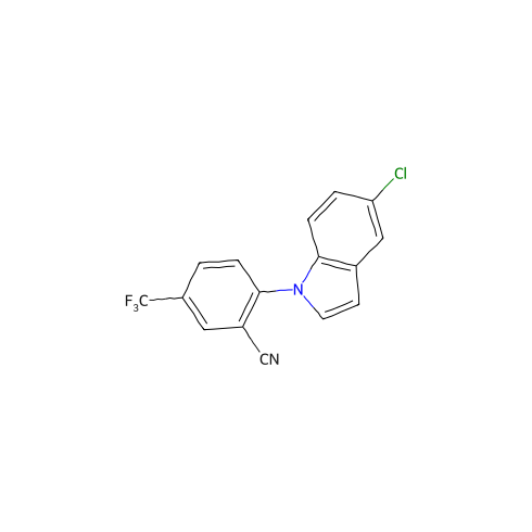 N#Cc1cc(C(F)(F)F)ccc1-n1ccc2cc(Cl)ccc21